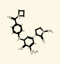 CN1CC[C@@H](C2=CC(Oc3ccc(C(=O)N4CCC4)cc3)C(=O)C(C(=O)O)=C2)C1=O